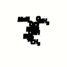 CCn1nc(C)cc1C(=O)Nc1nc2cc(C(N)=O)cc(OCCNC)c2n1CC